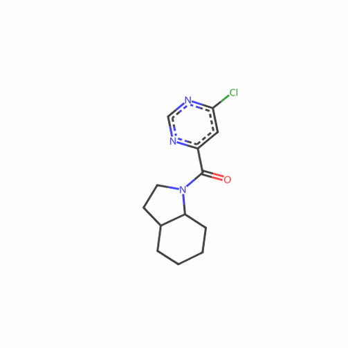 O=C(c1cc(Cl)ncn1)N1CCC2CCCCC21